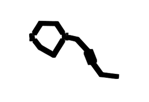 CCC#CCN1CCSCC1